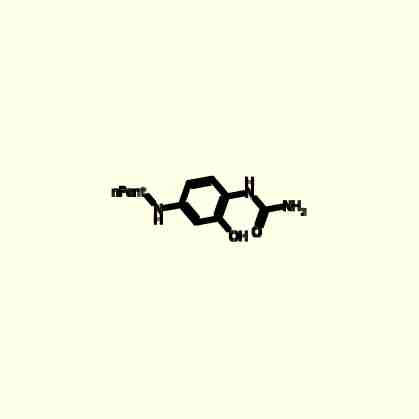 CCCCCNc1ccc(NC(N)=O)c(O)c1